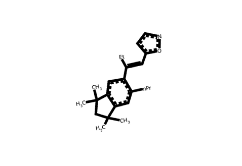 CCCc1cc2c(cc1C(=Cc1ccno1)CC)C(C)(C)CC2(C)C